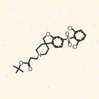 CC(C)(C)OC(=O)CCN1CCC2(CC1)COc1cc(S(=O)(=O)c3c(Cl)cccc3Cl)ccc12